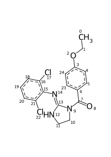 CCOc1ccc(C(=O)N2CCNC2=Nc2c(Cl)cccc2Cl)cc1